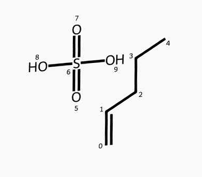 C=CCCC.O=S(=O)(O)O